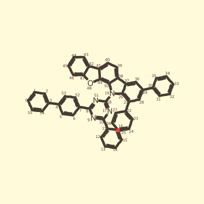 c1ccc(-c2ccc(-c3nc(-c4ccccc4)nc(-n4c5c(-c6ccccc6)cc(-c6ccccc6)cc5c5ccc6c7ccccc7oc6c54)n3)cc2)cc1